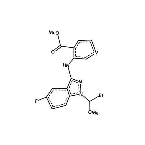 CCC(OC)n1nc(Nc2cnccc2C(=O)OC)c2cc(F)ccc21